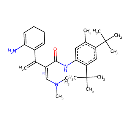 C=C(C1=CCCC=C1N)/C(=C/N(C)C)C(=O)Nc1cc(C)c(C(C)(C)C)cc1C(C)(C)C